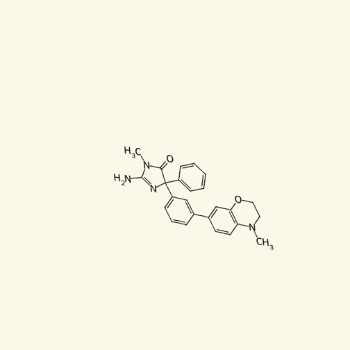 CN1C(=O)C(c2ccccc2)(c2cccc(-c3ccc4c(c3)OCCN4C)c2)N=C1N